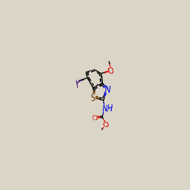 COC(=O)Nc1nc2c(OC)ccc(I)c2s1